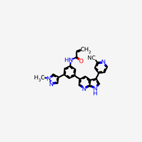 C=CC(=O)Nc1cc(-c2cnc3[nH]cc(-c4ccnc(C#N)c4)c3c2)cc(-c2cnn(C)c2)c1